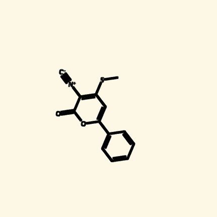 [C-]#[N+]c1c(SC)cc(-c2ccccc2)oc1=O